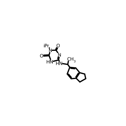 CC(Nc1nc(=O)n(C(C)C)c(=O)[nH]1)c1ccc2c(c1)CCC2